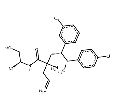 C=CCC(N)(C[C@H](c1cccc(Cl)c1)[C@@H](C)c1ccc(Cl)cc1)C(=O)N[C@@H](CC)CO